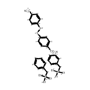 CC[N+](CC)(CC)Cc1ccccc1.CC[N+](CC)(CC)Cc1ccccc1.O=C(O)c1ccc(SSc2ccc(C(=O)O)cc2)cc1